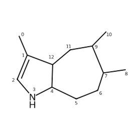 CC1=CNC2CCC(C)C(C)CC12